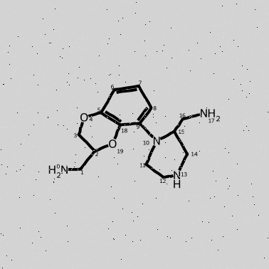 NCC1COc2cccc(N3CCNCC3CN)c2O1